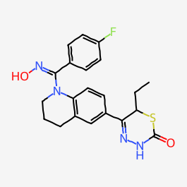 CCC1SC(=O)NN=C1c1ccc2c(c1)CCCN2/C(=N\O)c1ccc(F)cc1